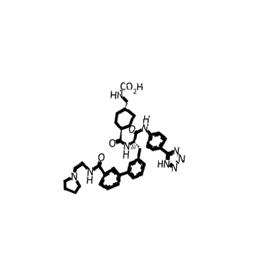 O=C(O)NC[C@H]1CC[C@H](C(=O)N[C@@H](Cc2cccc(-c3cccc(C(=O)NCCN4CCCC4)c3)c2)C(=O)Nc2ccc(-c3nnn[nH]3)cc2)CC1